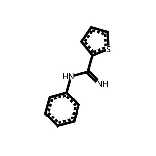 N=C(Nc1cc[c]cc1)c1cccs1